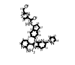 Nc1ncccc1-c1nc2ccc(-n3cccn3)nc2n1-c1ccc2c(c1)CC[C@@H]2NC(=O)c1csc(C=O)n1